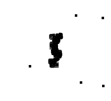 CC(C)Oc1ccc(-c2nc(-c3ccc4c(c3)OCCN(CCCC(=O)O)C4)no2)cc1Cl